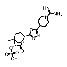 N=C(N)N1CCC(c2nnc([C@@H]3CC[C@@H]4CN3C(=O)N4OS(=O)(=O)O)o2)CC1